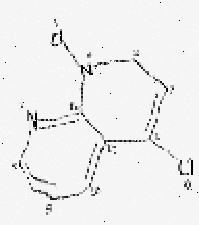 ClC1=CCN(Cl)c2ncccc21